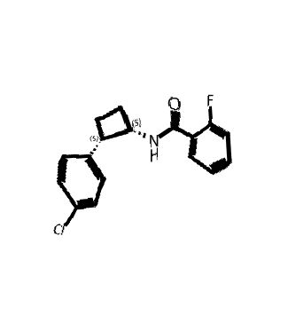 O=C(N[C@H]1CC[C@H]1c1ccc(Cl)cc1)c1ccccc1F